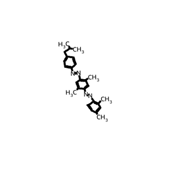 Cc1ccc(N=Nc2cc(C)c(N=Nc3ccc(CC(C)C)cc3)cc2C)c(C)c1